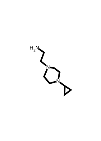 NCCN1CCN(C2CC2)CC1